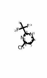 CC(F)(F)c1nccc(Cl)n1